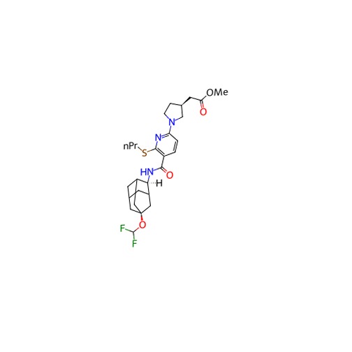 CCCSc1nc(N2CC[C@@H](CC(=O)OC)C2)ccc1C(=O)N[C@H]1C2CC3CC1C[C@@](OC(F)F)(C3)C2